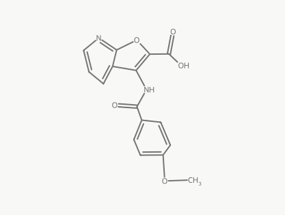 COc1ccc(C(=O)Nc2c(C(=O)O)oc3ncccc23)cc1